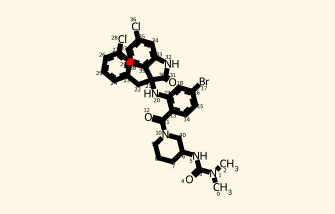 CN(C)C(=O)NC1CCCN(C(=O)c2ccc(Br)cc2NC2(Cc3cccc(Cl)c3)C(=O)Nc3cc(Cl)ccc32)C1